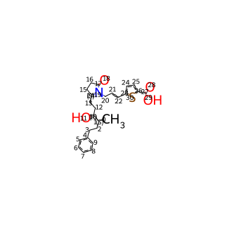 C[C@@H](CCc1ccccc1)[C@H](O)CC[C@H]1CCC(=O)N1CC=Cc1ccc(C(=O)O)s1